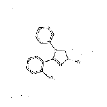 CC(C)[C@H]1CN(c2ccccc2)C(c2ccccc2[N+](=O)[O-])=N1